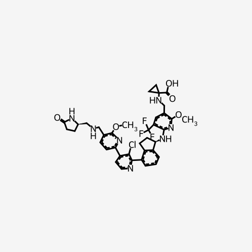 COc1nc(-c2ccnc(-c3cccc4c3CC[C@H]4Nc3nc(OC)c(CNC4(C(=O)O)CC4)cc3C(F)(F)F)c2Cl)ccc1CNC[C@H]1CCC(=O)N1